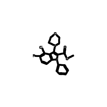 COC(=O)c1c(N2CCOCC2)c2c(Cl)c(F)ccc2n1-c1ccccc1